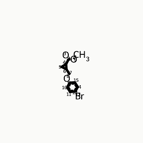 COC(=O)C1CC1COc1ccc(Br)cc1